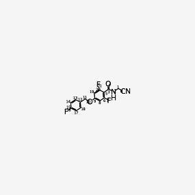 N#CCNC(=O)c1c(F)cc(OCc2ccc(F)cc2)cc1F